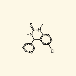 CN1C(=S)NC(c2ccccc2)c2cc(Cl)ccc21